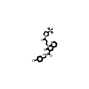 CS(=O)(=O)C1CCN(C(=O)CCn2c(=O)c(C(=O)NCc3ccc(Cl)cc3)cc3cccnc32)C1